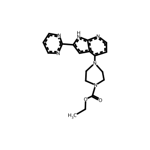 CCOC(=O)N1CCN(c2ccnc3[nH]c(-c4ncccn4)cc23)CC1